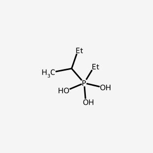 CCC(C)P(O)(O)(O)CC